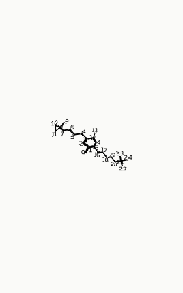 Cc1cc(CCCCC2(C)CC2)c(C)cc1CCCCCC(C)(C)C